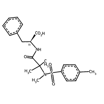 Cc1ccc(S(=O)(=O)N(C)C(C)(C)C(=O)N[C@@H](Cc2ccccc2)C(=O)O)cc1